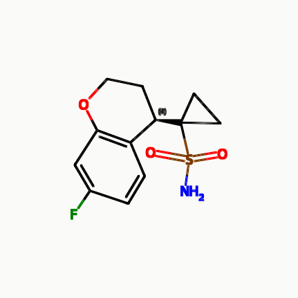 NS(=O)(=O)C1([C@@H]2CCOc3cc(F)ccc32)CC1